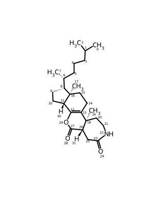 CC(C)CCC[C@@H](C)[C@H]1CC[C@H]2C3=C(CC[C@]12C)[C@@]1(C)CCNC(=O)C[C@@H]1C(=O)O3